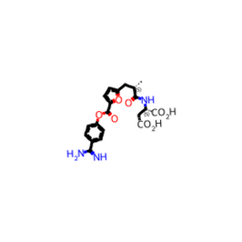 C[C@@H](Cc1ccc(C(=O)Oc2ccc(C(=N)N)cc2)o1)C(=O)N[C@@H](CC(=O)O)C(=O)O